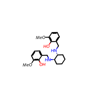 COc1cccc(CN[C@@H]2CCCC[C@H]2NCc2cccc(OC)c2O)c1O